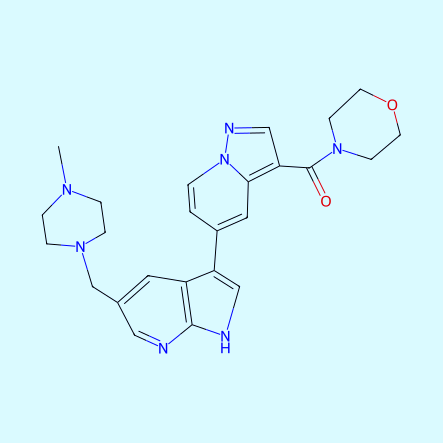 CN1CCN(Cc2cnc3[nH]cc(-c4ccn5ncc(C(=O)N6CCOCC6)c5c4)c3c2)CC1